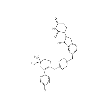 CC1(C)CCC(CN2CCN(Cc3ccc4c(c3)C(=O)N(C3CCC(=O)NC3=O)C4)CC2)=C(c2ccc(Cl)cc2)C1